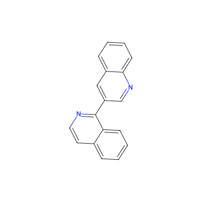 [c]1nc2ccccc2cc1-c1nccc2ccccc12